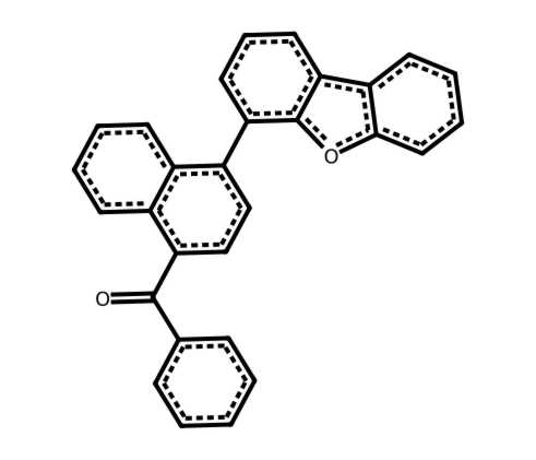 O=C(c1ccccc1)c1ccc(-c2cccc3c2oc2ccccc23)c2ccccc12